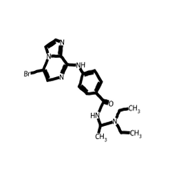 CCN(CC)C(C)NC(=O)c1ccc(Nc2ncc(Br)n3ccnc23)cc1